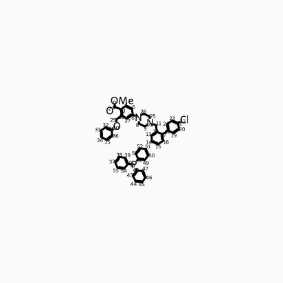 COC(=O)c1ccc(N2CCN(Cc3ccccc3-c3ccc(Cl)cc3)CC2)cc1COc1ccccc1.c1ccc(P(c2ccccc2)c2ccccc2)cc1